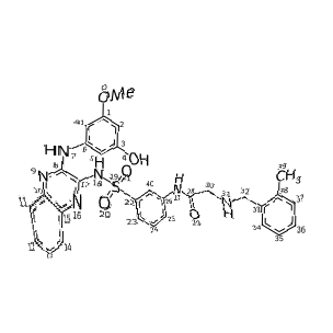 COc1cc(O)cc(Nc2nc3ccccc3nc2NS(=O)(=O)c2cccc(NC(=O)CNCc3ccccc3C)c2)c1